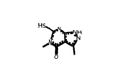 Cc1n[nH]c2nc(S)n(C)c(=O)c12